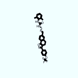 Cc1cccc(C)c1NC(=O)NS/N=C/c1ccc2c(c1)CCc1c(-c3ccc(OC(F)(F)F)cc3)noc1-2